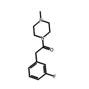 CN1CCN(C(=O)Cc2cccc(F)c2)CC1